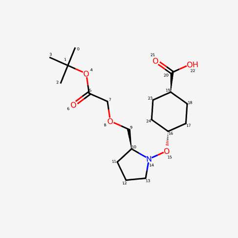 CC(C)(C)OC(=O)COC[C@@H]1CCCN1O[C@H]1CC[C@H](C(=O)O)CC1